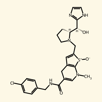 CN1C=C(C(=O)NCc2ccc(Cl)cc2)Cc2cc(CN3CCC[C@@H]3[C@@H](O)c3ncc[nH]3)[s+]([O-])c21